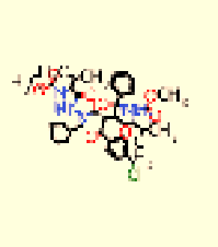 COC(=O)N[C@H](C(=O)NN(CC1CCCCC1)C[C@H](C(=O)c1ccc(CCl)cc1)C(C(=O)[C@@H](NC(=O)OC)C(C)C)C(N)(O)c1ccccc1)C(C)C